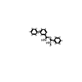 CN/C(=N\C(=N)c1cccc(-c2ccccc2)c1)c1ccccc1